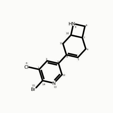 Clc1cc(C2=CCC3CNC3C2)cnc1Br